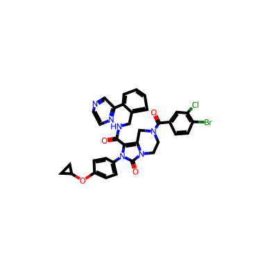 O=C(NCc1ccccc1-c1cnccn1)c1c2n(c(=O)n1-c1ccc(OC3CC3)cc1)CCN(C(=O)c1ccc(Br)c(Cl)c1)C2